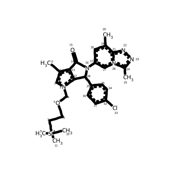 Cc1cn(COCC[Si](C)(C)C)c2c1C(=O)N(c1cc(C)c3nnc(C)n3c1)C2c1ccc(Cl)cc1